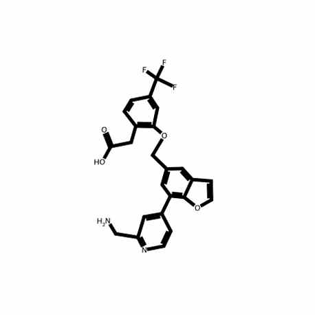 NCc1cc(-c2cc(COc3cc(C(F)(F)F)ccc3CC(=O)O)cc3ccoc23)ccn1